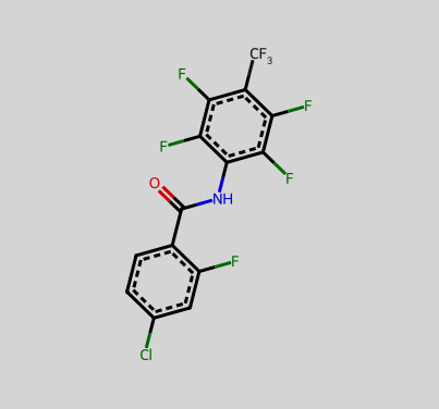 O=C(Nc1c(F)c(F)c(C(F)(F)F)c(F)c1F)c1ccc(Cl)cc1F